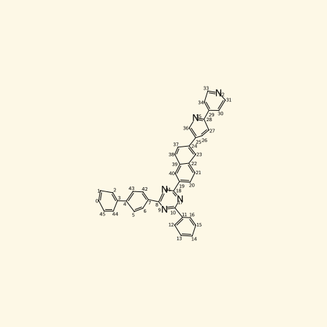 c1ccc(-c2ccc(-c3nc(-c4ccccc4)nc(-c4ccc5cc(-c6ccc(-c7ccncc7)nc6)ccc5c4)n3)cc2)cc1